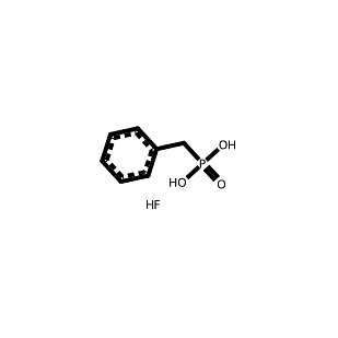 F.O=P(O)(O)Cc1ccccc1